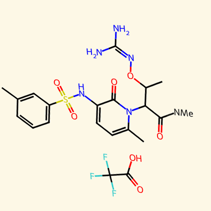 CNC(=O)C(C(C)ON=C(N)N)n1c(C)ccc(NS(=O)(=O)c2cccc(C)c2)c1=O.O=C(O)C(F)(F)F